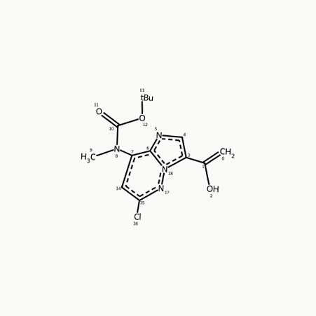 C=C(O)c1cnc2c(N(C)C(=O)OC(C)(C)C)cc(Cl)nn12